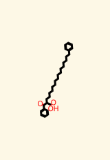 O=C(O)C(CCCCCCCCCCCCCCCCc1ccccc1)C(=O)c1ccccc1